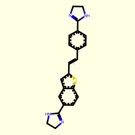 C(=C\c1cc2cc(C3=NCCN3)ccc2s1)/c1ccc(C2=NCCN2)cc1